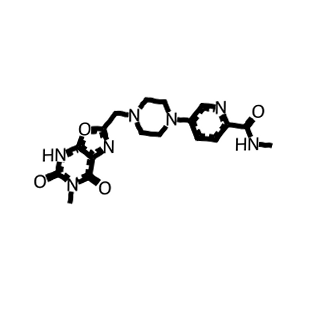 CNC(=O)c1ccc(N2CCN(Cc3nc4c(=O)n(C)c(=O)[nH]c4o3)CC2)cn1